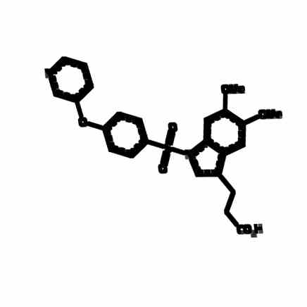 COc1cc2c(CCC(=O)O)cn(S(=O)(=O)c3ccc(Oc4cccnc4)cc3)c2cc1OC